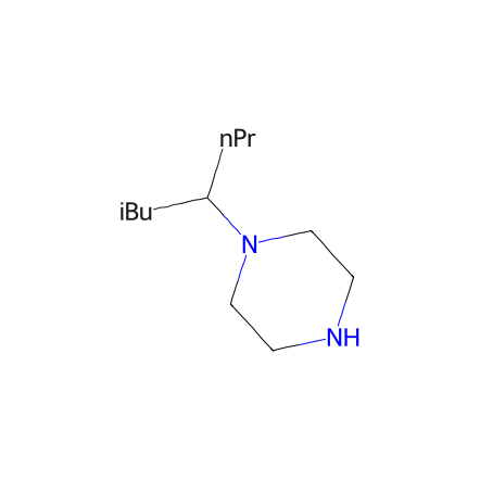 CCCC(C(C)CC)N1CCNCC1